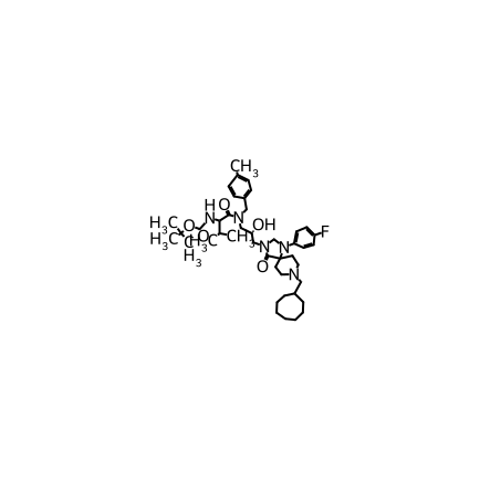 Cc1ccc(CN(C[C@H](O)CN2CN(c3ccc(F)cc3)C3(CCN(CC4CCCCCCC4)CC3)C2=O)C(=O)C(NC(=O)OC(C)(C)C)C(C)C)cc1